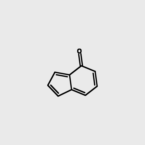 O=C1C=CC=C2C=CC=C12